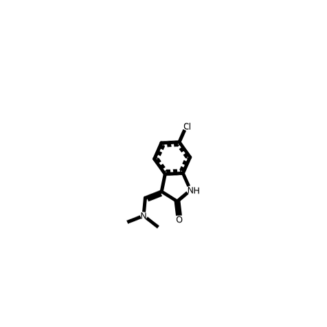 CN(C)/C=C1\C(=O)Nc2cc(Cl)ccc21